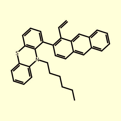 C=Cc1c(-c2cccc3c2N(CCCCCC)c2ccccc2S3)ccc2cc3ccccc3cc12